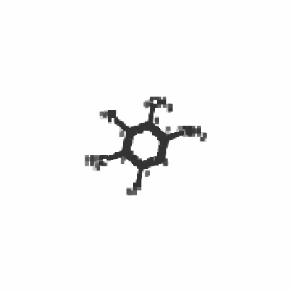 Cc1c(N)cc(F)c(C)c1F